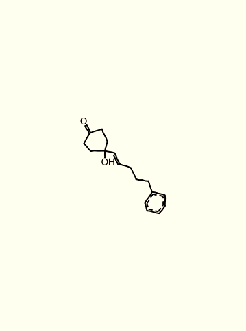 O=C1CCC(O)(C=CCCCc2ccccc2)CC1